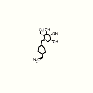 C=C[C@H]1CC[C@@H](CN2C[C@H](O)[C@@H](O)[C@H](O)[C@H]2CO)CC1